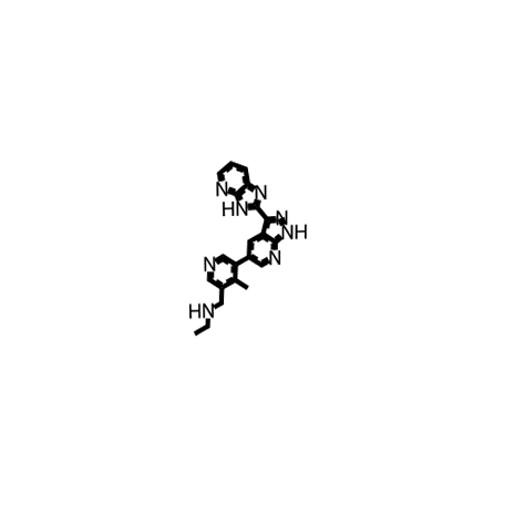 CCNCc1cncc(-c2cnc3[nH]nc(-c4nc5cccnc5[nH]4)c3c2)c1C